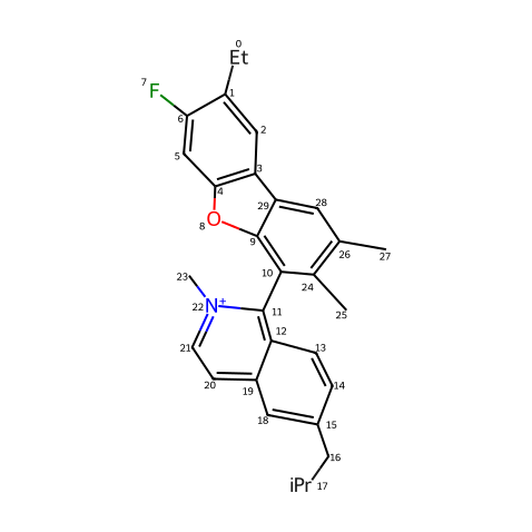 CCc1cc2c(cc1F)oc1c(-c3c4ccc(CC(C)C)cc4cc[n+]3C)c(C)c(C)cc12